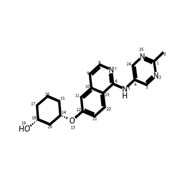 Cc1ncc(Nc2nccc3cc(O[C@H]4CCC[C@@H](O)C4)ccc23)cn1